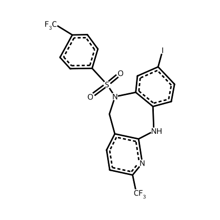 O=S(=O)(c1ccc(C(F)(F)F)cc1)N1Cc2ccc(C(F)(F)F)nc2Nc2ccc(I)cc21